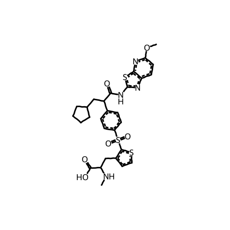 CNC(Cc1ccsc1S(=O)(=O)c1ccc(C(CC2CCCC2)C(=O)Nc2nc3ccc(OC)nc3s2)cc1)C(=O)O